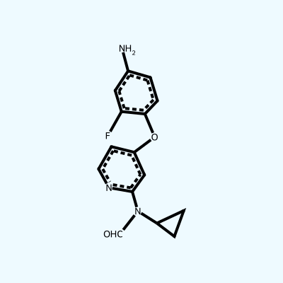 Nc1ccc(Oc2ccnc(N(C=O)C3CC3)c2)c(F)c1